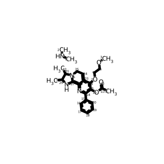 CNC.COCCOc1c(OC(C)=O)c(-c2ccccc2)nc2c1=CCN1C=2NC(C)C1C